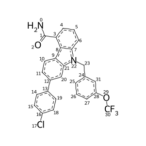 NC(=O)c1cccc2c1c1[c]cc(-c3ccc(Cl)cc3)cc1n2Cc1cccc(OC(F)(F)F)c1